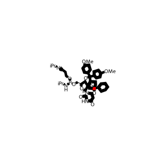 COc1ccc(C(O[C@H]2[C@@H](SC(=O)c3ccccc3)[C@H](n3ccc(=O)[nH]c3=O)O[C@@H]2COP(NC(C)C)OCCC#[N+]C(C)C)(c2ccccc2)c2ccc(OC)cc2)cc1